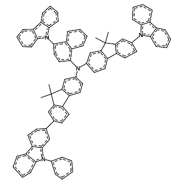 CC1(C)c2cc(-c3ccc4c5ccccc5n(-c5ccccc5)c4c3)ccc2-c2ccc(N(c3ccc4c(c3)C(C)(C)c3cc(-n5c6ccccc6c6ccccc65)ccc3-4)c3ccc(-n4c5ccccc5c5ccccc54)c4ccccc34)cc21